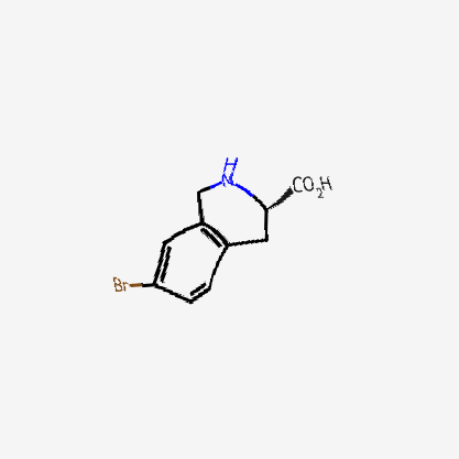 O=C(O)[C@H]1Cc2ccc(Br)cc2CN1